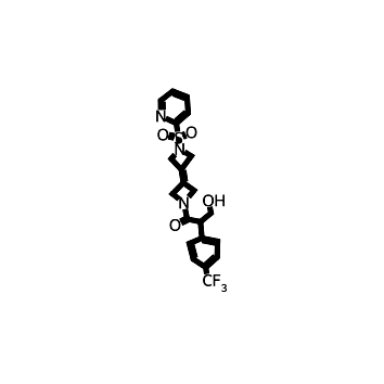 O=C(C(CO)c1ccc(C(F)(F)F)cc1)N1CC(=C2CN(S(=O)(=O)c3ccccn3)C2)C1